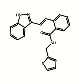 O=C(NCc1cccs1)c1ccccc1C=Cc1n[nH]c2ccccc12